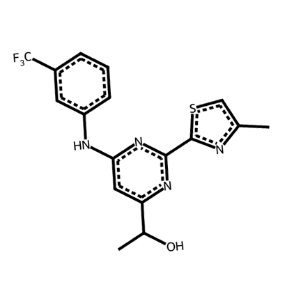 Cc1csc(-c2nc(Nc3cccc(C(F)(F)F)c3)cc(C(C)O)n2)n1